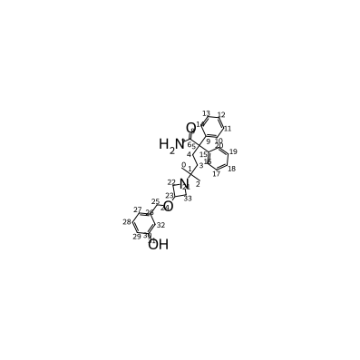 CC(C)(CCC(C(N)=O)(c1ccccc1)c1ccccc1)N1CC(OCc2cccc(O)c2)C1